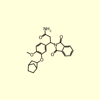 COc1ccc(C(CC(N)=O)N2C(=O)c3ccccc3C2=O)cc1OC1CC2CCC1C2